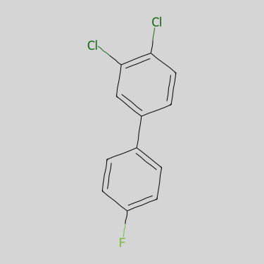 Fc1ccc(-c2ccc(Cl)c(Cl)c2)cc1